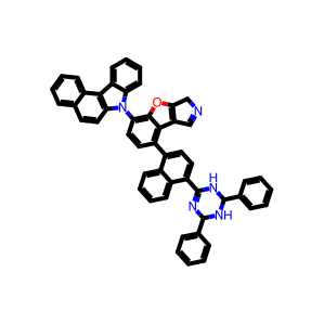 C1=NCc2oc3c(-n4c5ccccc5c5c6ccccc6ccc54)ccc(-c4ccc(C5=NC(c6ccccc6)NC(c6ccccc6)N5)c5ccccc45)c3c21